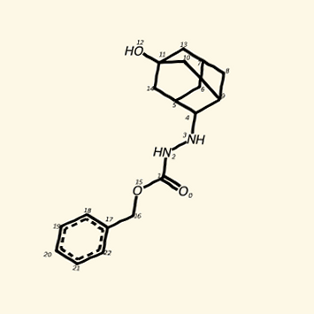 O=C(NNC1C2CC3CC1CC(O)(C3)C2)OCc1ccccc1